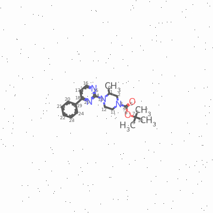 CC1CN(C(=O)OC(C)(C)C)CCN1c1nccc(-c2ccccc2)n1